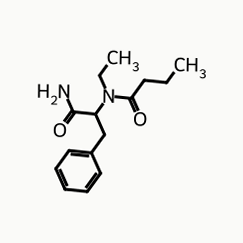 CCCC(=O)N(CC)C(Cc1ccccc1)C(N)=O